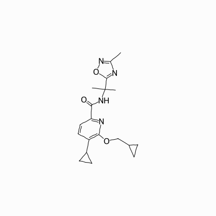 Cc1noc(C(C)(C)NC(=O)c2ccc(C3CC3)c(OCC3CC3)n2)n1